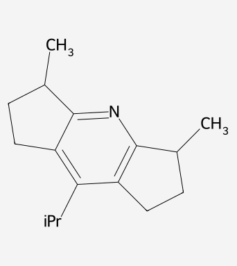 CC(C)c1c2c(nc3c1CCC3C)C(C)CC2